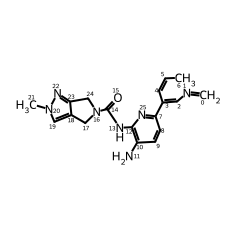 C=N/C=C(\C=C/C)c1ccc(N)c(NC(=O)N2Cc3cn(C)nc3C2)n1